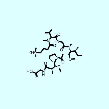 CC[C@H](C)[C@@H]([C@@H](CC(=O)N1CCC[C@H]1[C@H](OC)[C@@H](C)C(=O)NCC(=O)O)OC)N(C)C(=O)CNC(=O)C(C(C)C)N(C)C(=O)CCC[SH](C)(C)=O